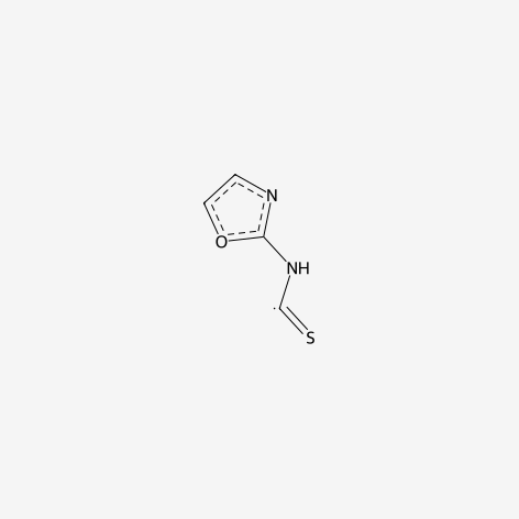 S=[C]Nc1ncco1